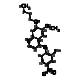 CCCCOc1cc2nccc(Oc3ccc([N+](=O)[O-])cc3F)c2cc1OC